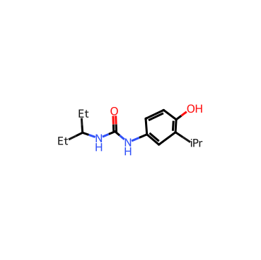 CCC(CC)NC(=O)Nc1ccc(O)c(C(C)C)c1